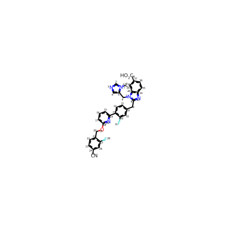 CCn1cncc1Cn1c(Cc2ccc(-c3cccc(OCc4ccc(C#N)cc4F)n3)c(F)c2)nc2ccc(C(=O)O)cc21